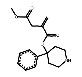 C=C(CC(=O)OC)C(=O)OC1(c2ccccc2)CCNCC1